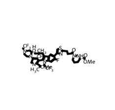 COC(=O)[C@@H]1CCCN(C(=O)CCc2nc(-c3cc4c(CC(C)(C)CO)c(-c5cc(N6CCN(CC(F)(F)F)CC6)cnc5[C@H](C)OC)n(CC(F)(F)F)c4cc3F)cs2)N1